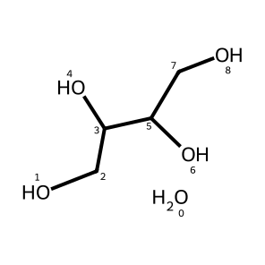 O.OCC(O)C(O)CO